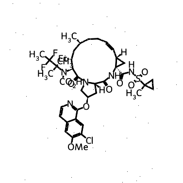 CC[C@@H]1C[C@@H](C)CC/C=C\[C@@H]2C[C@@]2(C(=O)NS(=O)(=O)C2(C)CC2)NC(=O)[C@@H]2C[C@@H](Oc3nccc4cc(OC)c(Cl)cc34)CN2C(=O)[C@H]1N(C(=O)O)C(C)(C)C(C)(F)F